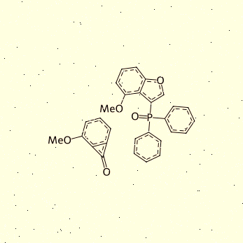 COc1cccc2c(=O)c12.COc1cccc2occ(P(=O)(c3ccccc3)c3ccccc3)c12